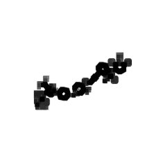 Cn1c(=O)n(C2CCC(=O)NC2=O)c2cccc(C#CCO[C@H]3CCN(C[C@H]4CC[C@H](n5cc(NC(=O)OC(C)(C)C)c(C(F)F)n5)CC4)C[C@@H]3F)c21